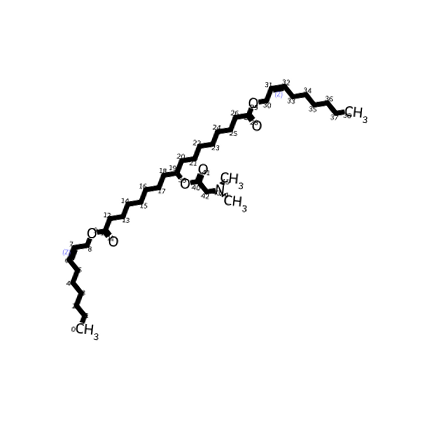 CCCCCC/C=C\COC(=O)CCCCCCCC(CCCCCCCC(=O)OC/C=C\CCCCCC)OC(=O)CN(C)C